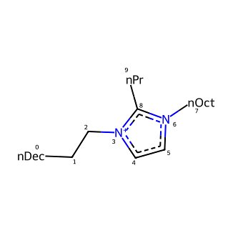 CCCCCCCCCCCC[n+]1ccn(CCCCCCCC)c1CCC